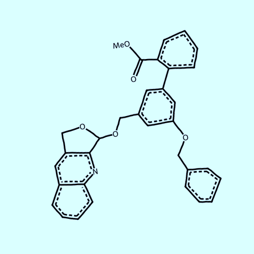 COC(=O)c1ccccc1-c1cc(COC2OCc3cc4ccccc4nc32)cc(OCc2ccccc2)c1